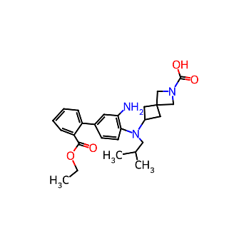 CCOC(=O)c1ccccc1-c1ccc(N(CC(C)C)C2CC3(C2)CN(C(=O)O)C3)c(N)c1